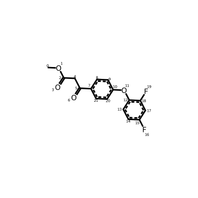 COC(=O)CC(=O)c1ccc(Oc2ccc(F)cc2F)cc1